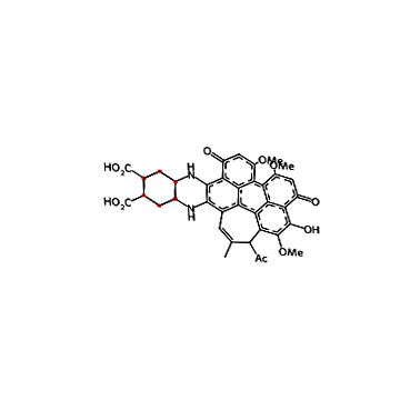 COc1c(O)c2c(=O)cc(OC)c3c4c(OC)cc(=O)c5c(NC6CCC(C(=O)O)CC6)c(NC6CCC(C(=O)O)CC6)c6c(c(c1C(C(C)=O)C(C)=C6)c23)c54